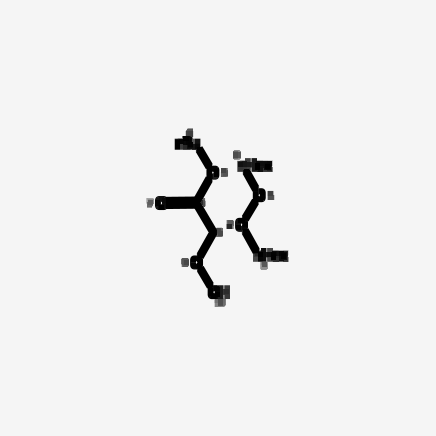 CCCCCCOOCCCCCC.CCCCOC(=O)COO